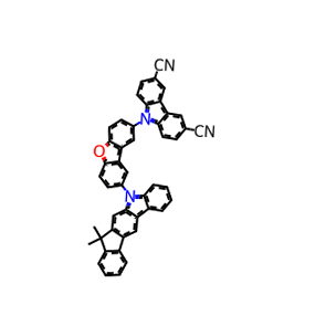 CC1(C)c2ccccc2-c2cc3c4ccccc4n(-c4ccc5oc6ccc(-n7c8ccc(C#N)cc8c8cc(C#N)ccc87)cc6c5c4)c3cc21